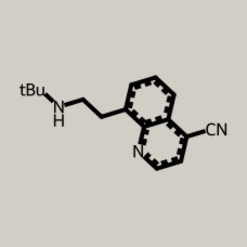 CC(C)(C)NCCc1cccc2c(C#N)ccnc12